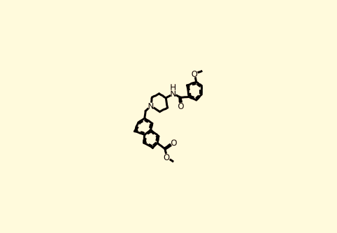 COC(=O)c1ccc2ccc(CN3CCC(NC(=O)c4cccc(OC)c4)CC3)cc2c1